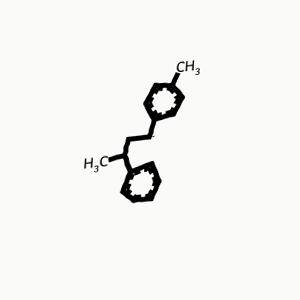 Cc1ccc([CH]CC(C)c2ccccc2)cc1